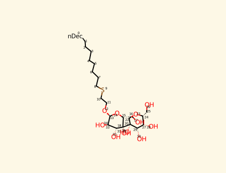 CCCCCCCCCCCCCCCCCCSCCO[C@H]1O[C@H](CO)[C@@](O)([C@@]2(O)CO[C@H](CO)[C@H](O)[C@@H]2O)[C@H](O)[C@H]1O